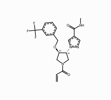 C=CC(=O)N1C[C@@H](n2cc(C(=O)NC)cn2)[C@H](OCc2cccc(C(F)(F)F)c2)C1